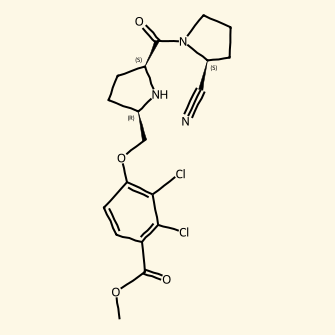 COC(=O)c1ccc(OC[C@H]2CC[C@@H](C(=O)N3CCC[C@H]3C#N)N2)c(Cl)c1Cl